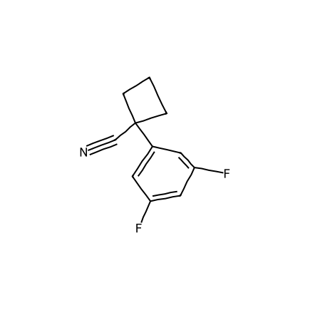 N#CC1(c2cc(F)cc(F)c2)CCC1